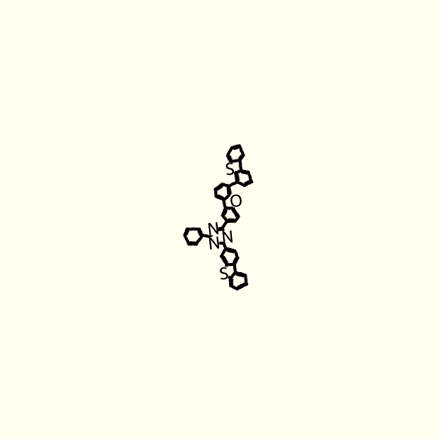 c1ccc(-c2nc(-c3ccc4c(c3)sc3ccccc34)nc(-c3ccc4oc5c(-c6cccc7c6sc6ccccc67)cccc5c4c3)n2)cc1